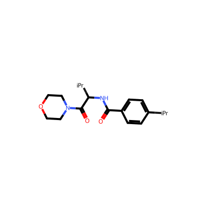 CC(C)c1ccc(C(=O)NC(C(=O)N2CCOCC2)C(C)C)cc1